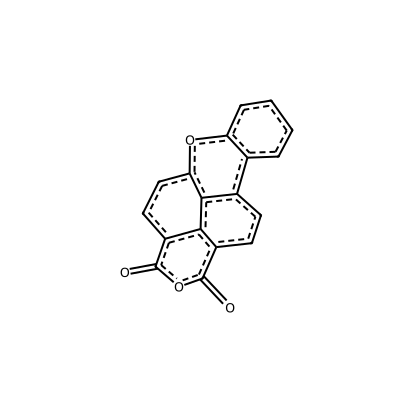 O=c1oc(=O)c2ccc3c4ccccc4oc4ccc1c2c43